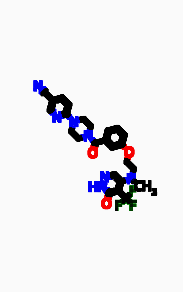 CN(CCOc1cccc(C(=O)N2CCN(c3ccc(C#N)cn3)CC2)c1)c1cn[nH]c(=O)c1C(F)(F)F